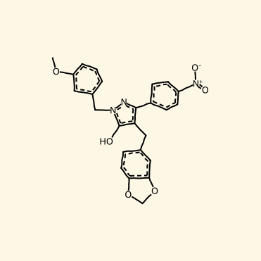 COc1cccc(Cn2nc(-c3ccc([N+](=O)[O-])cc3)c(Cc3ccc4c(c3)OCO4)c2O)c1